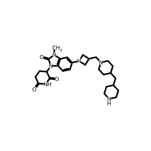 Cn1c(=O)n(C2CCC(=O)NC2=O)c2ccc(N3CC(CN4CCC(CC5CCNCC5)CC4)C3)cc21